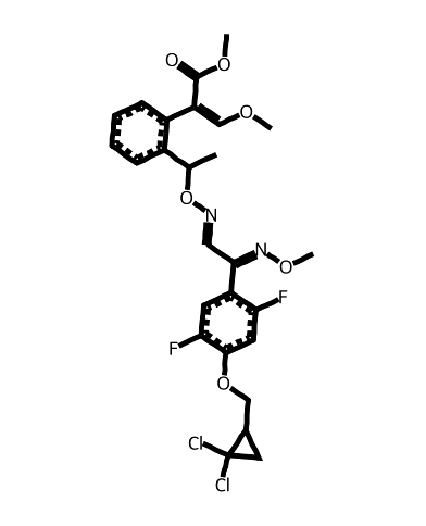 COC=C(C(=O)OC)c1ccccc1C(C)ON=CC(=NOC)c1cc(F)c(OCC2CC2(Cl)Cl)cc1F